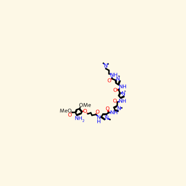 COC(=O)c1cc(OC)c(OCCCC(=O)Nc2cc(C(=O)Nc3cc(C(=O)Nc4cc(C(=O)Nc5cc(C(=O)NCCCN(C)C)n(C)c5)n(C)c4)n(C)c3)n(C)c2)cc1N